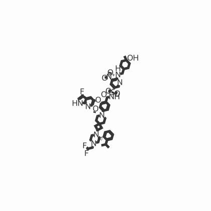 COc1nc2[nH]cc(F)c2cc1Oc1cc(N2CCC3(CC2)CC(N2CCN(CC(F)F)C[C@H]2c2ccccc2C(C)C)C3)ccc1C(=O)NS(=O)(=O)c1cnc(NCC2CCC(C)(O)CC2)c([N+](=O)[O-])c1